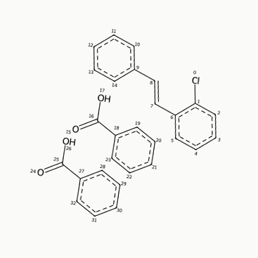 Clc1ccccc1C=Cc1ccccc1.O=C(O)c1ccccc1.O=C(O)c1ccccc1